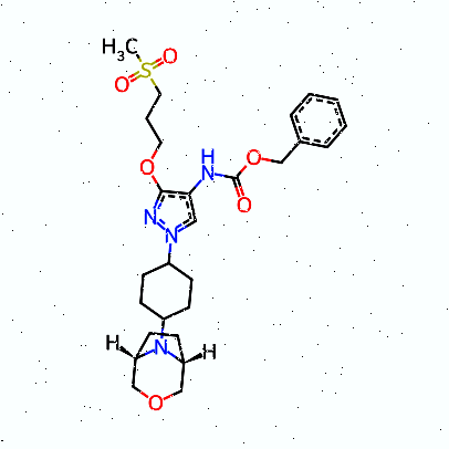 CS(=O)(=O)CCCOc1nn(C2CCC(N3[C@@H]4CC[C@H]3COC4)CC2)cc1NC(=O)OCc1ccccc1